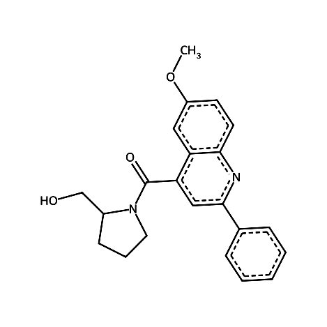 COc1ccc2nc(-c3ccccc3)cc(C(=O)N3CCCC3CO)c2c1